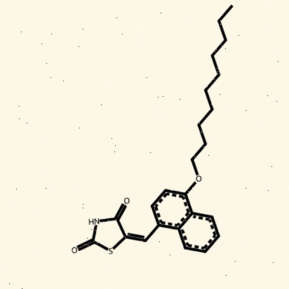 CCCCCCCCCCOc1ccc(C=C2SC(=O)NC2=O)c2ccccc12